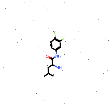 CC(C)CC(N)C(=O)Nc1ccc(F)c(F)c1